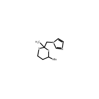 CCCCC1CCSC(C)(Cn2ccnc2)S1